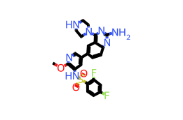 COc1ncc(-c2ccc3nc(N)nc(N4CCNCC4)c3c2)cc1NS(=O)(=O)c1ccc(F)cc1F